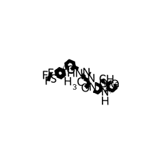 CO[C@H]1COCC[C@H]1NC1CCN(C(=O)c2ncnc(NCC3CCC[C@@H](c4ccc(SC(F)(F)F)cc4)O3)c2C)CC1